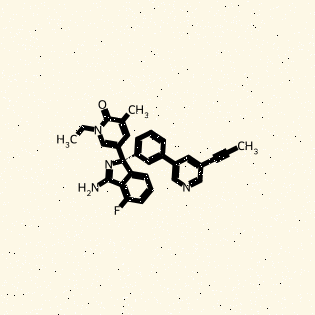 CC#Cc1cncc(-c2cccc([C@@]3(c4cc(C)c(=O)n(CC)c4)N=C(N)c4c(F)cccc43)c2)c1